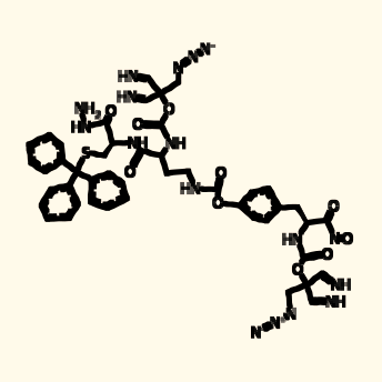 [N-]=[N+]=NCC(C=N)(C=N)OC(=O)NC(CCNC(=O)Oc1ccc(C[C@H](NC(=O)OC(C=N)(C=N)CN=[N+]=[N-])C(=O)N=O)cc1)C(=O)N[C@@H](CSC(c1ccccc1)(c1ccccc1)c1ccccc1)C(=O)NN